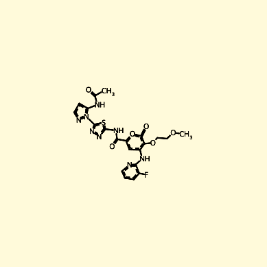 COCCOc1c(Nc2ncccc2F)cc(C(=O)Nc2nnc(-n3nccc3NC(C)=O)s2)oc1=O